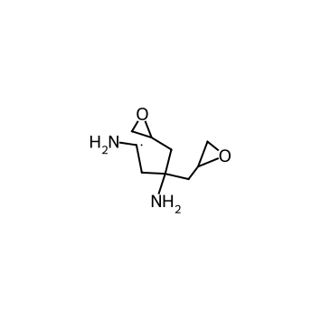 N[CH]CC(N)(CC1CO1)CC1CO1